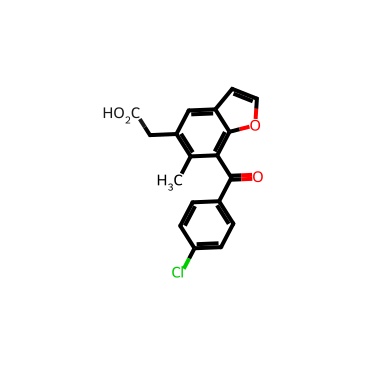 Cc1c(CC(=O)O)cc2ccoc2c1C(=O)c1ccc(Cl)cc1